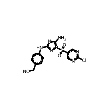 N#CCc1ccc(Nc2nc(N)n(S(=O)(=O)c3cnc(Cl)nc3)n2)cc1